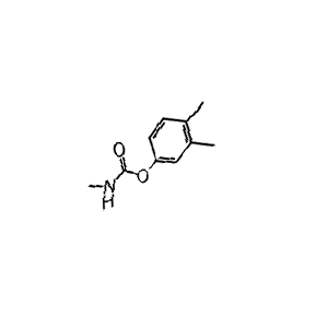 CNC(=O)Oc1ccc(C)c(C)c1